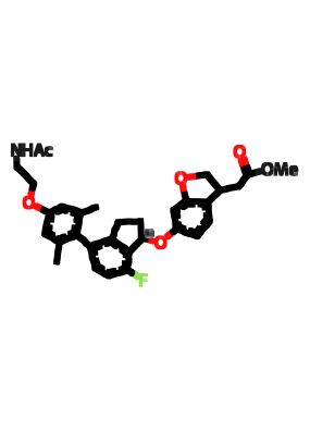 COC(=O)CC1COc2cc(O[C@@H]3CCc4c(-c5c(C)cc(OCCNC(C)=O)cc5C)ccc(F)c43)ccc21